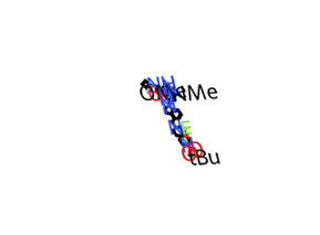 CNc1cc(N2CCc3c(CN4CCC5(CCN(C(=O)OC(C)(C)C)CC5)C(F)(F)C4)cccc32)nn2c(C(=O)N[C@@H]3CC[C@H]3OC)cnc12